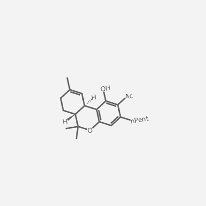 CCCCCc1cc2c(c(O)c1C(C)=O)[C@@H]1C=C(C)CC[C@H]1C(C)(C)O2